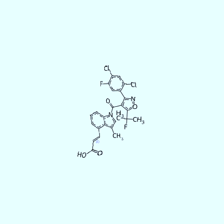 Cc1cn(C(=O)c2c(-c3cc(F)c(Cl)cc3Cl)noc2C(C)(C)F)c2cccc(/C=C/C(=O)O)c12